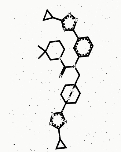 CC1(C)CCCN(C(=O)N(CC23CCC(c4nc(C5CC5)no4)(CC2)CC3)c2cccc(-c3nc(C4CC4)no3)c2)C1